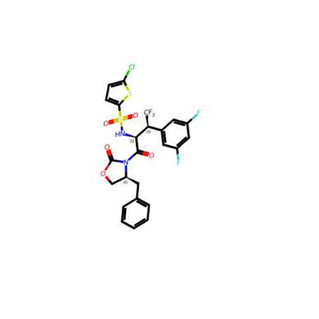 O=C1OC[C@H](Cc2ccccc2)N1C(=O)[C@@H](NS(=O)(=O)c1ccc(Cl)s1)[C@H](c1cc(F)cc(F)c1)C(F)(F)F